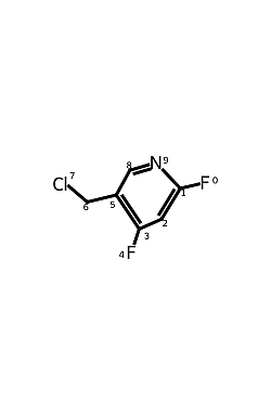 Fc1cc(F)c(CCl)cn1